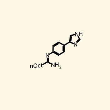 CCCCCCCC/C(N)=N/c1ccc(-c2c[nH]cn2)cc1